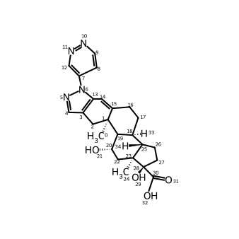 C[C@]12Cc3cnn(-c4ccnnc4)c3C=C1CC[C@@H]1C2[C@@H](O)C[C@@]2(C)[C@H]1CC[C@]2(O)C(=O)O